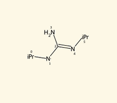 CC(C)[N]/C(N)=N/C(C)C